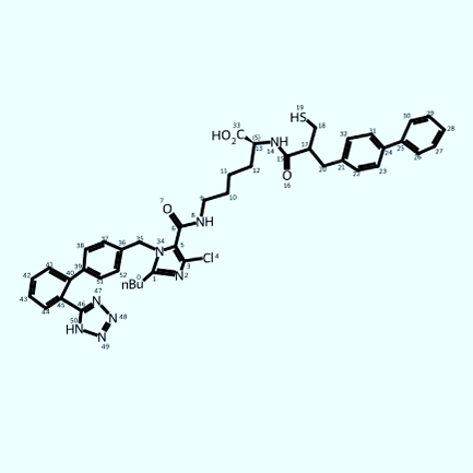 CCCCc1nc(Cl)c(C(=O)NCCCC[C@H](NC(=O)C(CS)Cc2ccc(-c3ccccc3)cc2)C(=O)O)n1Cc1ccc(-c2ccccc2-c2nnn[nH]2)cc1